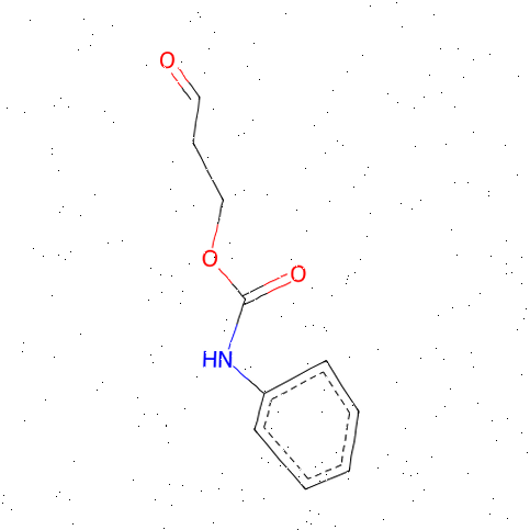 O=CCCOC(=O)Nc1ccccc1